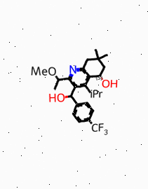 COC(C)c1nc2c(c(C(C)C)c1C(O)c1ccc(C(F)(F)F)cc1)[C@@H](O)CC(C)(C)C2